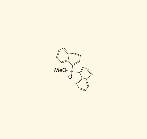 COP(=O)(c1cccc2ccccc12)c1cccc2ccccc12